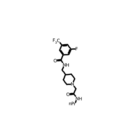 CCCNC(=O)CN1CCC(CNC(=O)c2cc(F)cc(C(F)(F)F)c2)CC1